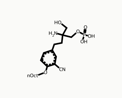 CCCCCCCCOc1ccc(CCC(N)(CO)COP(=O)(O)O)cc1C#N